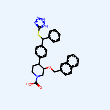 O=C(O)N1CCC(c2ccc(C(Sc3nnn[nH]3)c3ccccc3)cc2)C(OCc2ccc3ccccc3c2)C1